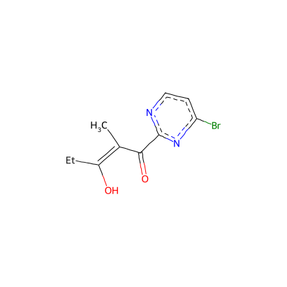 CC/C(O)=C(\C)C(=O)c1nccc(Br)n1